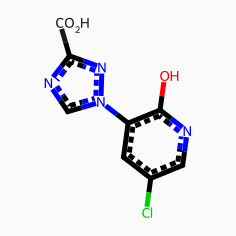 O=C(O)c1ncn(-c2cc(Cl)cnc2O)n1